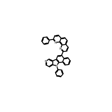 c1ccc(-c2ccc3ccc4ccc(-c5cc6c7cnccc7n(-c7ccccc7)c6c6ccccc56)nc4c3n2)cc1